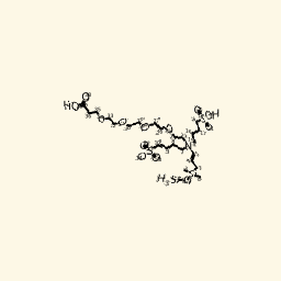 C[Si](C)(CCC[N+](CCCCS(=O)(=O)[O-])(CCCCS(=O)(=O)O)CCOCCOCCOCCOCCC(=O)O)O[SiH3]